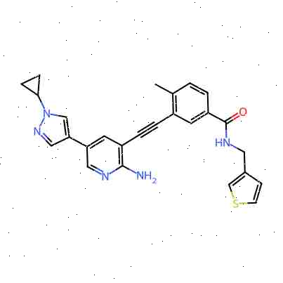 Cc1ccc(C(=O)NCc2ccsc2)cc1C#Cc1cc(-c2cnn(C3CC3)c2)cnc1N